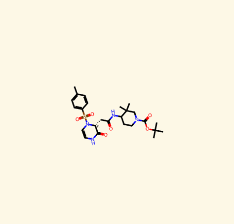 Cc1ccc(S(=O)(=O)N2C=CNC(=O)[C@H]2CC(=O)NC2CCN(C(=O)OC(C)(C)C)CC2(C)C)cc1